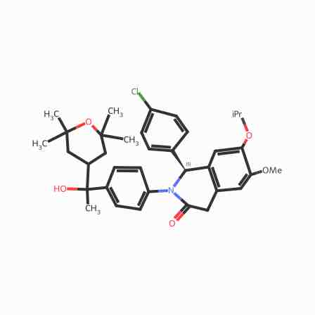 COc1cc2c(cc1OC(C)C)[C@H](c1ccc(Cl)cc1)N(c1ccc(C(C)(O)C3CC(C)(C)OC(C)(C)C3)cc1)C(=O)C2